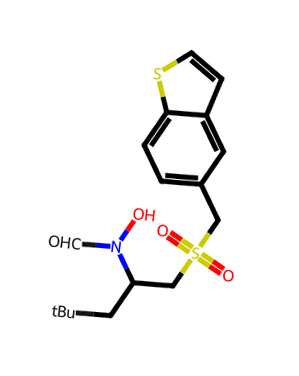 CC(C)(C)CC(CS(=O)(=O)Cc1ccc2sccc2c1)N(O)C=O